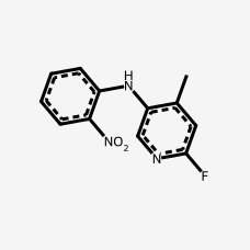 Cc1cc(F)ncc1Nc1ccccc1[N+](=O)[O-]